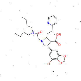 CCCCN(CCCC)C(=O)CN1C[C@H](c2cc(OC)c3c(c2)OCO3)[C@H](C(=O)O)[C@H]1CCc1ccccn1